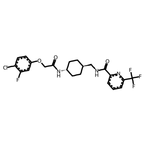 O=C(COc1ccc(Cl)c(F)c1)N[C@H]1CC[C@H](CNC(=O)c2cccc(C(F)(F)F)n2)CC1